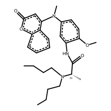 CCCCN(CCCC)[C@@H](C)C(=O)Nc1cc(N(C)c2cc(=O)oc3ccccc23)ccc1OC